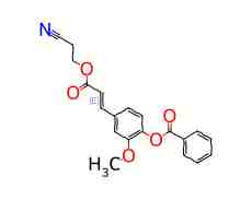 COc1cc(/C=C/C(=O)OCCC#N)ccc1OC(=O)c1ccccc1